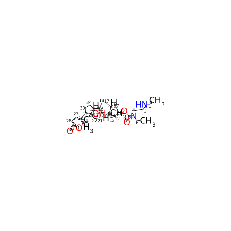 CCNCCN(CC)C(=O)O[C@H]1CC[C@@]2(C)[C@H](CC[C@@H]3[C@@H]2CC[C@]2(C)[C@@H](c4ccc(=O)oc4)CC[C@]32O)C1